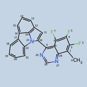 Cc1c(F)c(F)c(F)c2c(-c3cc4cccc5c6ccccc6n3c45)ncnc12